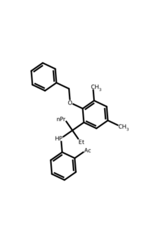 CCCC(CC)(Pc1ccccc1C(C)=O)c1cc(C)cc(C)c1OCc1ccccc1